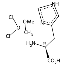 COC.ClOCl.N[C@@H](Cc1c[nH]cn1)C(=O)O